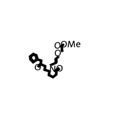 COC(=O)COCC=CCN1C(=O)CCCC1CCC(=O)Cc1ccccc1